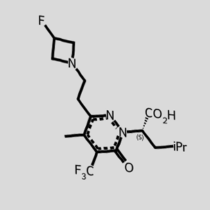 Cc1c(CCN2CC(F)C2)nn([C@@H](CC(C)C)C(=O)O)c(=O)c1C(F)(F)F